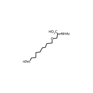 CCCCCCCCCCCCCCCCCCOCC(NC(C)=O)C(=O)O